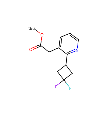 CC(C)(C)OC(=O)Cc1cccnc1C1CC(F)(I)C1